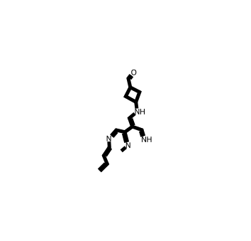 C=C/C=C/N=C\C(=N/C)C(\C=N)=C\NC1CC(C=O)C1